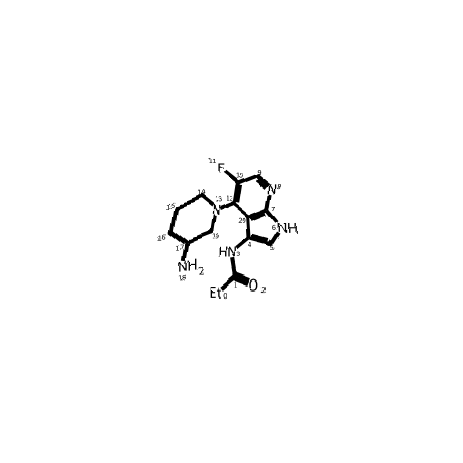 CCC(=O)Nc1c[nH]c2ncc(F)c(N3CCCC(N)C3)c12